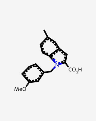 COc1cccc(Cn2c(C(=O)O)cc3cc(C)ccc32)c1